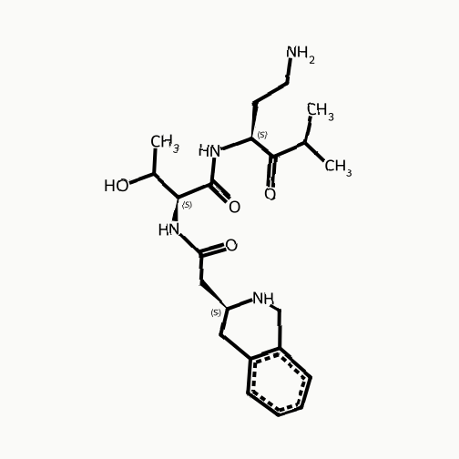 CC(C)C(=O)[C@H](CCN)NC(=O)[C@@H](NC(=O)C[C@@H]1Cc2ccccc2CN1)C(C)O